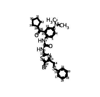 CN(C)c1ccc(NC(=O)Nc2nc(CSc3ccccc3)c(Br)s2)c(C(=O)C2CCCC2)c1